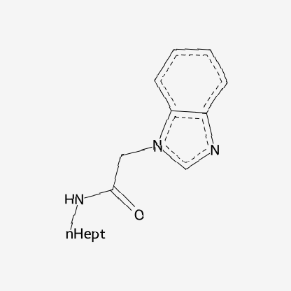 CCCCCCCNC(=O)Cn1cnc2ccccc21